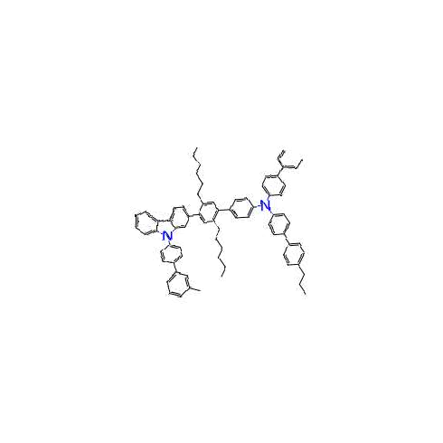 C=C/C(=C\C)c1ccc(N(c2ccc(-c3ccc(CCC)cc3)cc2)c2ccc(-c3cc(CCCCCC)c(-c4ccc5c6ccccc6n(-c6ccc(-c7cccc(C)c7)cc6)c5c4)cc3CCCCCC)cc2)cc1